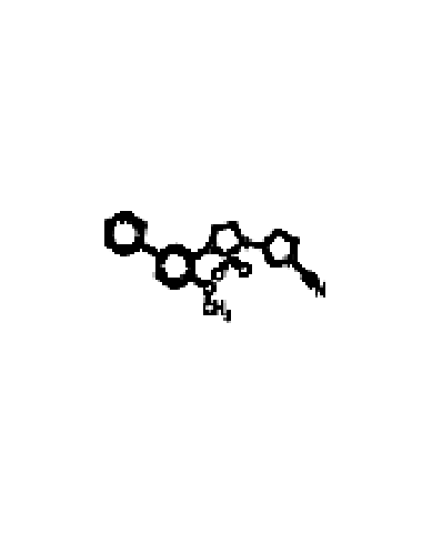 COc1ccc(-c2ccccc2)cc1N1CCN(C2CCN(C#N)C2)S1(=O)=O